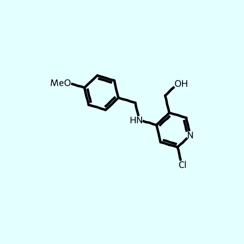 COc1ccc(CNc2cc(Cl)ncc2CO)cc1